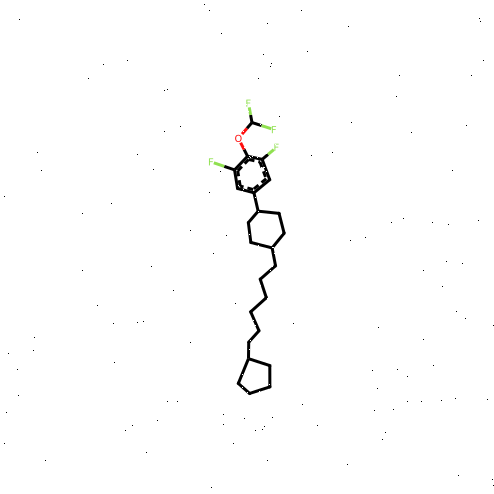 Fc1cc(C2CCC(CCCCCCC3CCCC3)CC2)cc(F)c1OC(F)F